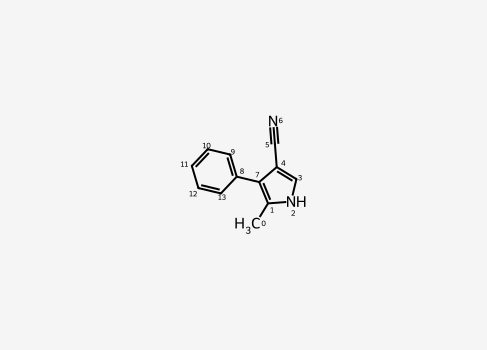 Cc1[nH]cc(C#N)c1-c1ccccc1